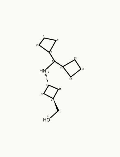 OC[C@H]1C[C@H](NC(C2CCC2)C2CCC2)C1